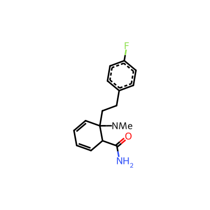 CNC1(CCc2ccc(F)cc2)C=CC=CC1C(N)=O